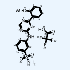 COc1ccccc1-c1ncnc(Nc2cccc(S(N)(=O)=O)c2)n1.O=C(O)C(F)(F)F